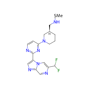 CSNC[C@H]1CCCN(c2ccnc(-c3cnc4cnc(C(F)F)cn34)n2)C1